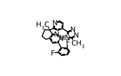 Cc1nnc(-c2ccnc([C@@]3(C)CCCc4cc(-c5c(F)cccc5F)nnc43)c2)[nH]1